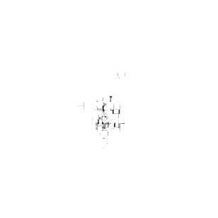 C[C@@H]1C[C@H]2[C@@H]3CCC4=CC(=O)C=C[C@]4(C)[C@@]3(F)[C@@H](O)C[C@]2(C)[C@@]1(O)C(=O)COC(=O)CCCCC1CO1